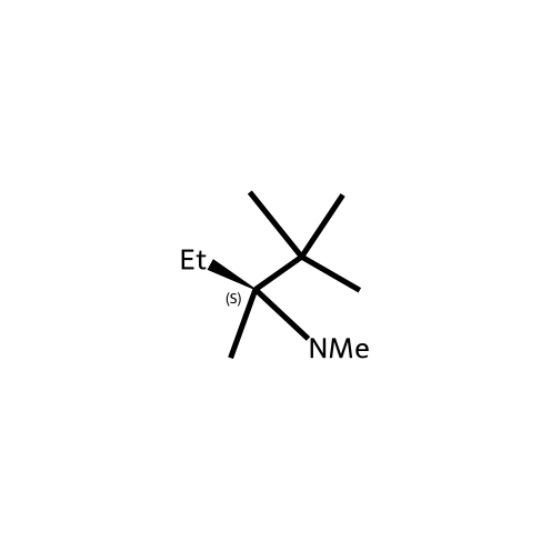 CC[C@](C)(NC)C(C)(C)C